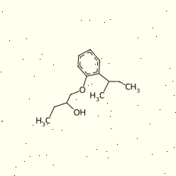 CCC(O)COc1ccccc1C(C)CC